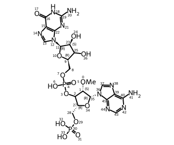 CO[C@H]1C(OP(=O)(O)OC[C@H]2O[C@@H](n3cnc4c(=O)[nH]c(N)nc43)[C@@H](O)C2O)[C@@H](COP(=O)(O)O)O[C@H]1n1cnc2c(N)ncnc21